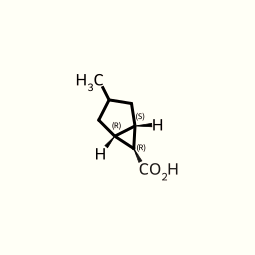 CC1C[C@@H]2[C@H](C1)[C@H]2C(=O)O